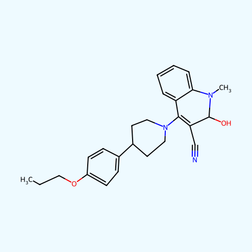 CCCOc1ccc(C2CCN(C3=C(C#N)C(O)N(C)c4ccccc43)CC2)cc1